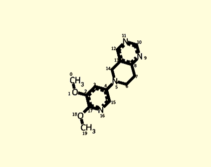 COc1cc(N2CCc3ncncc3C2)cnc1OC